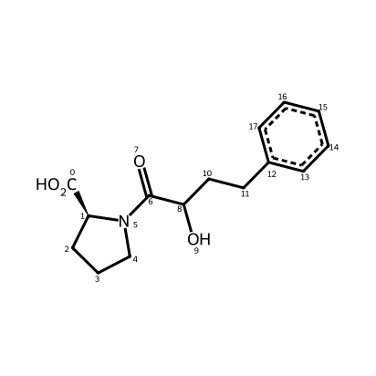 O=C(O)[C@@H]1CCCN1C(=O)C(O)CCc1ccccc1